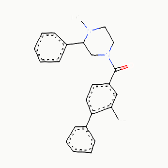 CN1CCN(C(=O)c2ccc(-c3ccccc3)c(C(F)(F)F)c2)CC1c1ccccc1